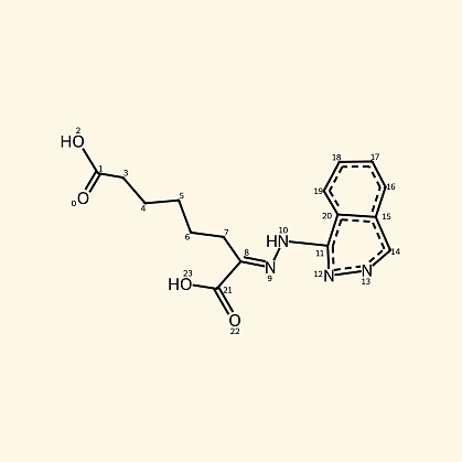 O=C(O)CCCCC/C(=N\Nc1nncc2ccccc12)C(=O)O